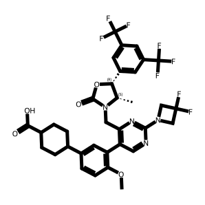 COc1ccc(C2CCC(C(=O)O)CC2)cc1-c1cnc(N2CC(F)(F)C2)nc1CN1C(=O)O[C@H](c2cc(C(F)(F)F)cc(C(F)(F)F)c2)[C@@H]1C